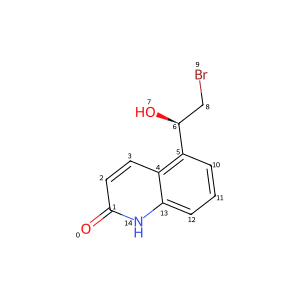 O=c1ccc2c([C@@H](O)CBr)cccc2[nH]1